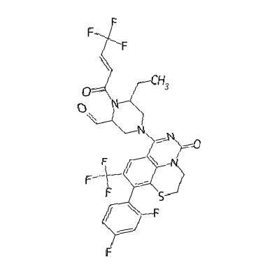 CCC1CN(c2nc(=O)n3c4c(c(-c5ccc(F)cc5F)c(C(F)(F)F)cc24)SCC3)CC(C=O)N1C(=O)/C=C/C(F)(F)F